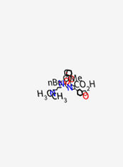 CCCCN(CCCCN(C)C)C(=O)CN1C[C@H](c2ccc3c(c2)CCO3)[C@@H](C(=O)O)[C@@H]1COc1ccccc1OC